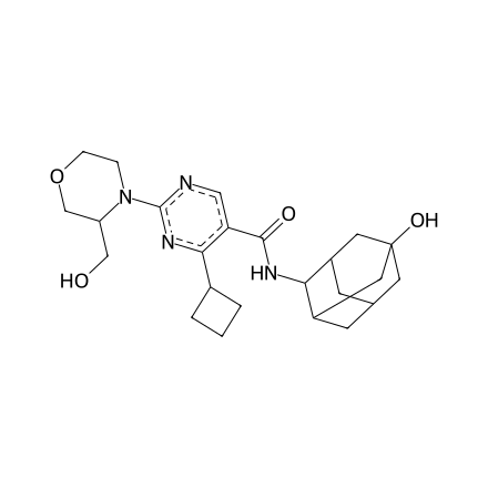 O=C(NC1C2CC3CC1CC(O)(C3)C2)c1cnc(N2CCOCC2CO)nc1C1CCC1